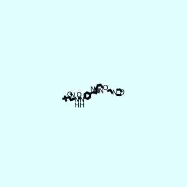 CC(C)(C)c1cc(NC(=O)Nc2ccc(-c3cn4nc(OCCCN5CCOCC5)ccc4n3)cc2)no1